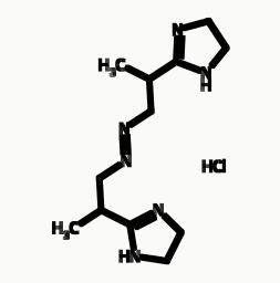 CC(CN=NCC(C)C1=NCCN1)C1=NCCN1.Cl